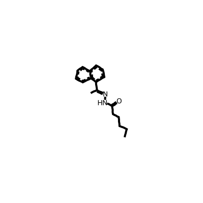 CCCCCC(=O)N/N=C(\C)c1cccc2ccccc12